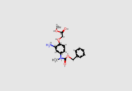 CN(C(=O)OCc1ccccc1)c1ccc(OCC(=O)OC(C)(C)C)c(N)c1